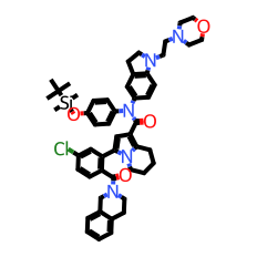 CC(C)(C)[Si](C)(C)Oc1ccc(N(C(=O)c2cc(-c3cc(Cl)ccc3C(=O)N3CCc4ccccc4C3)n3c2CCCC3)c2ccc3c(c2)CCN3CCN2CCOCC2)cc1